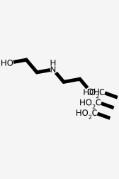 CC(=O)O.CC(=O)O.CC(=O)O.OCCNCCO